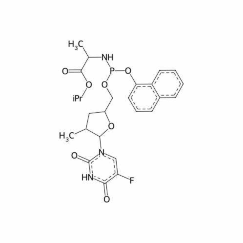 CC(C)OC(=O)C(C)NP(OCC1CC(C)C(n2cc(F)c(=O)[nH]c2=O)O1)Oc1cccc2ccccc12